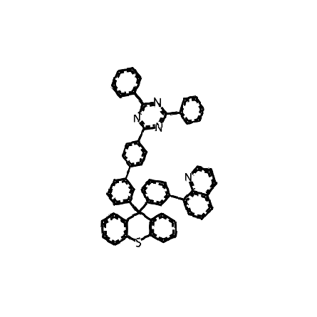 c1ccc(-c2nc(-c3ccccc3)nc(-c3ccc(-c4cccc(C5(c6cccc(-c7cccc8cccnc78)c6)c6ccccc6Sc6ccccc65)c4)cc3)n2)cc1